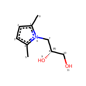 Cc1ccc(C)n1C[C@@H](O)CO